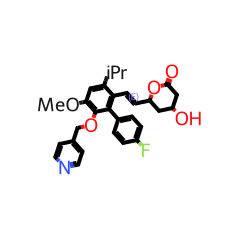 COc1cc(C(C)C)c(/C=C/C2CC(O)CC(=O)O2)c(-c2ccc(F)cc2)c1OCc1ccncc1